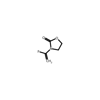 C=C(F)N1CCOC1=O